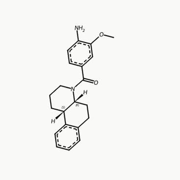 COc1cc(C(=O)N2CCC[C@H]3c4ccccc4CC[C@H]32)ccc1N